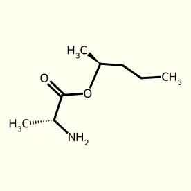 CCC[C@H](C)OC(=O)[C@@H](C)N